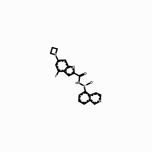 O=C(N[S+]([O-])c1cccc2cnccc12)c1cc2c(F)cc(N3CCC3)cc2o1